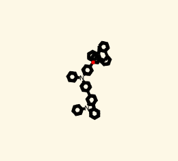 c1ccc(N(c2ccc(-c3ccc4c(c3)-c3c5cccc3-c3cccc-4c3-c3ccccc3-5)cc2)c2ccc(-c3ccc4c5ccccc5n(-c5ccccc5)c4c3)cc2)cc1